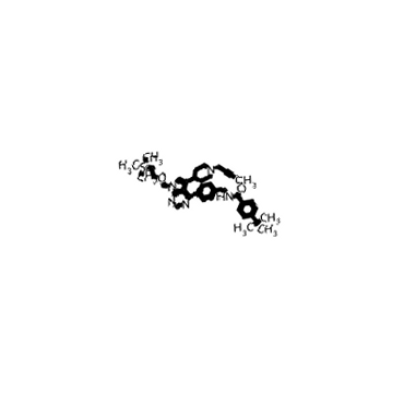 CC#CCN1CCC(c2cn(COCC[Si](C)(C)C)c3ncnc(-c4ccc(CNC(=O)c5ccc(C(C)(C)C)cc5)cc4)c23)CC1